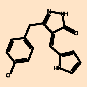 O=C1NN=C(Cc2ccc(Cl)cc2)C1=Cc1ccc[nH]1